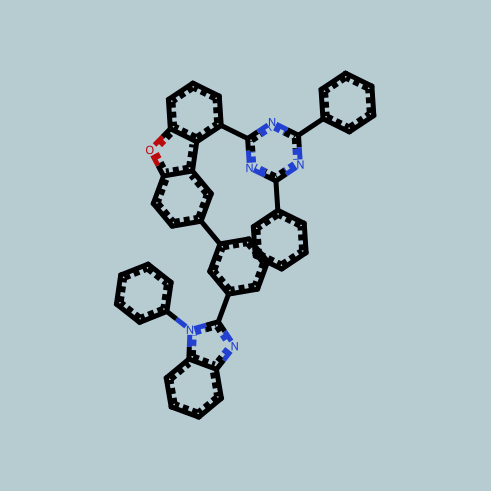 c1ccc(-c2nc(-c3ccccc3)nc(-c3cccc4oc5ccc(-c6cccc(-c7nc8ccccc8n7-c7ccccc7)c6)cc5c34)n2)cc1